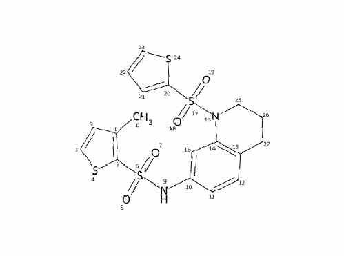 Cc1ccsc1S(=O)(=O)Nc1ccc2c(c1)N(S(=O)(=O)c1cccs1)CCC2